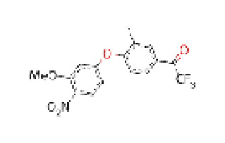 COc1cc(Oc2ccc(C(=O)C(F)(F)F)cc2C)ccc1[N+](=O)[O-]